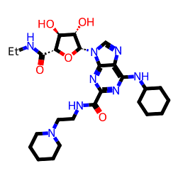 CCNC(=O)[C@H]1O[C@@H](n2cnc3c(NC4CCCCC4)nc(C(=O)NCCN4CCCCC4)nc32)[C@@H](O)[C@@H]1O